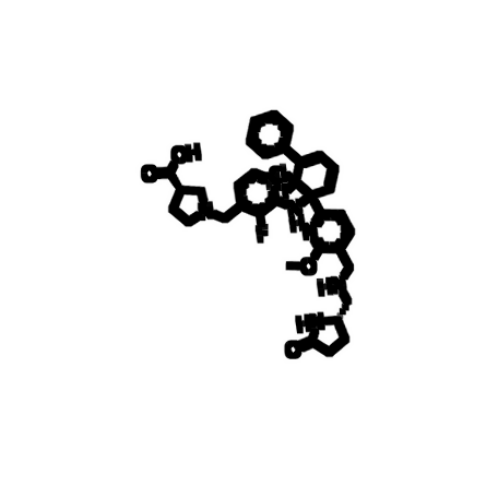 COc1nc(C2(Nc3nccc(CN4CC[C@@H](C(=O)O)C4)c3F)C=CC=C(c3ccccc3)C2(Cl)Cl)ccc1CNC[C@@H]1CCC(=O)N1